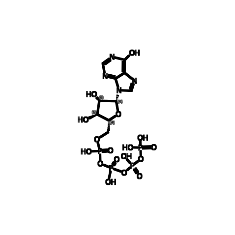 O=P(O)(O)OP(=O)(O)OP(=O)(O)OP(=O)(O)OC[C@H]1O[C@@H](n2cnc3c(O)ncnc32)[C@H](O)[C@@H]1O